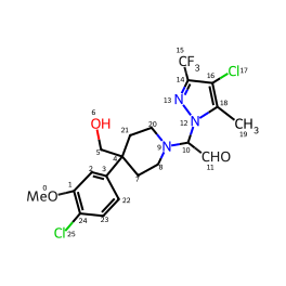 COc1cc(C2(CO)CCN(C(C=O)n3nc(C(F)(F)F)c(Cl)c3C)CC2)ccc1Cl